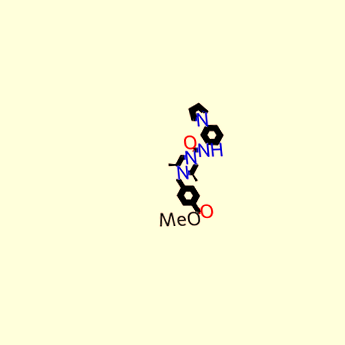 COC(=O)c1ccc(CN2[C@H](C)CN(C(=O)Nc3cccc(-n4cccc4)c3)C[C@@H]2C)cc1